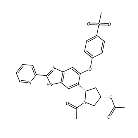 CC(=O)O[C@H]1C[C@@H](c2cc3[nH]c(-c4ccccn4)nc3cc2Oc2ccc(S(C)(=O)=O)cc2)N(C(C)=O)C1